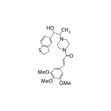 COc1cc(C=CC(=O)N2CCN(C(C)C(O)c3ccc4c(c3)CCS4)CC2)cc(OC)c1OC